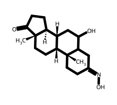 C[C@]12CCC(=NO)CC1C(O)C[C@@H]1[C@H]2CC[C@]2(C)C(=O)CC[C@@H]12